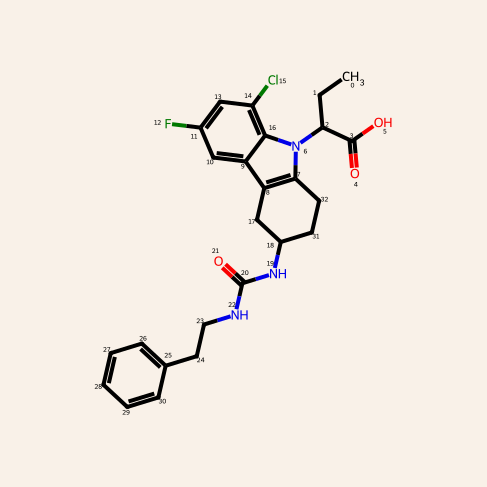 CCC(C(=O)O)n1c2c(c3cc(F)cc(Cl)c31)CC(NC(=O)NCCc1ccccc1)CC2